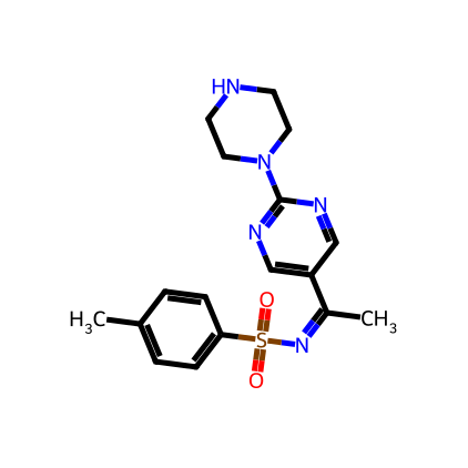 CC(=NS(=O)(=O)c1ccc(C)cc1)c1cnc(N2CCNCC2)nc1